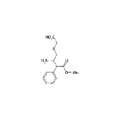 CC(C)(C)OC(=O)C(c1ccccc1)C(N)CSCC(=O)O